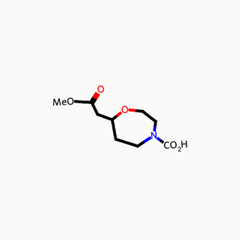 COC(=O)CC1CCN(C(=O)O)CCO1